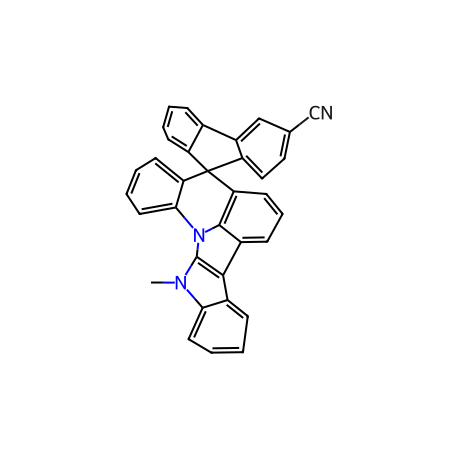 Cn1c2ccccc2c2c3cccc4c3n(c21)-c1ccccc1C41c2ccccc2-c2cc(C#N)ccc21